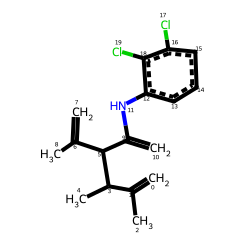 C=C(C)C(C)C(C(=C)C)C(=C)Nc1cccc(Cl)c1Cl